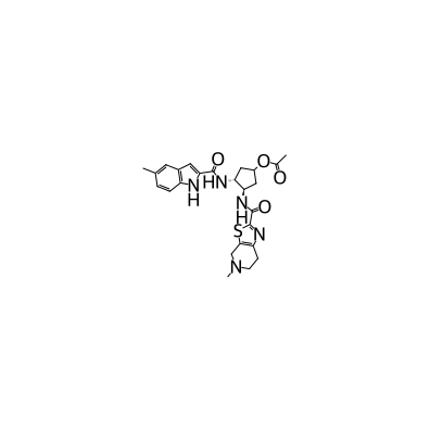 CC(=O)OC1C[C@@H](NC(=O)c2cc3cc(C)ccc3[nH]2)[C@H](NC(=O)c2nc3c(s2)CN(C)CC3)C1